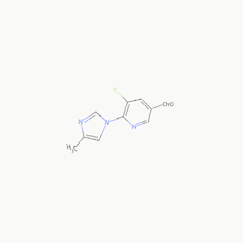 Cc1cn(-c2ncc(C=O)cc2F)cn1